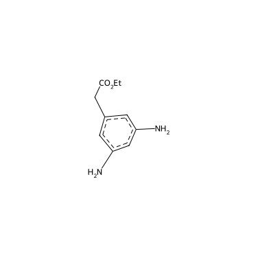 CCOC(=O)Cc1cc(N)cc(N)c1